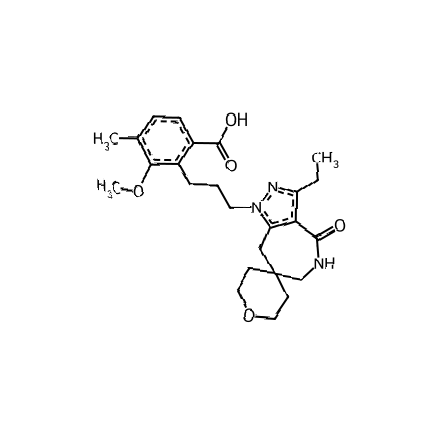 CCc1nn(CCCc2c(C(=O)O)ccc(C)c2OC)c2c1C(=O)NCC1(CCOCC1)C2